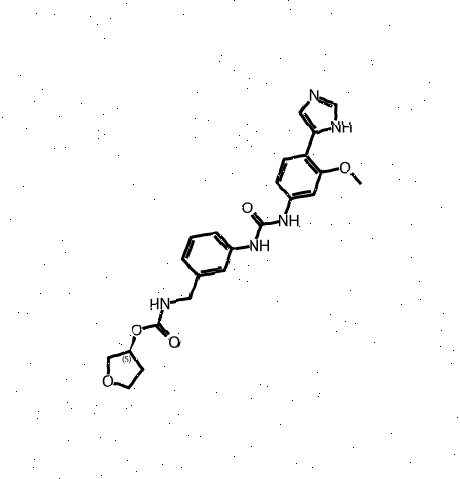 COc1cc(NC(=O)Nc2cccc(CNC(=O)O[C@H]3CCOC3)c2)ccc1-c1cnc[nH]1